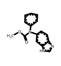 COC(=O)N(c1ccccc1)c1ccc2nc[nH]c2c1